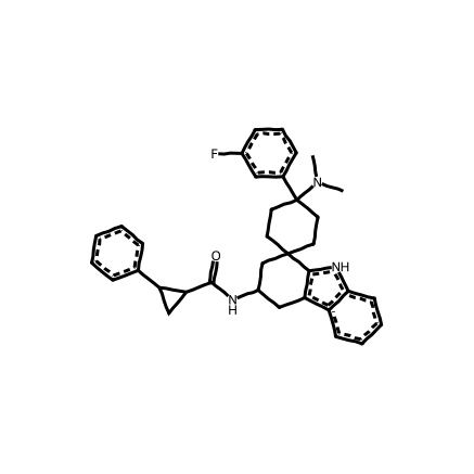 CN(C)C1(c2cccc(F)c2)CCC2(CC1)CC(NC(=O)C1CC1c1ccccc1)Cc1c2[nH]c2ccccc12